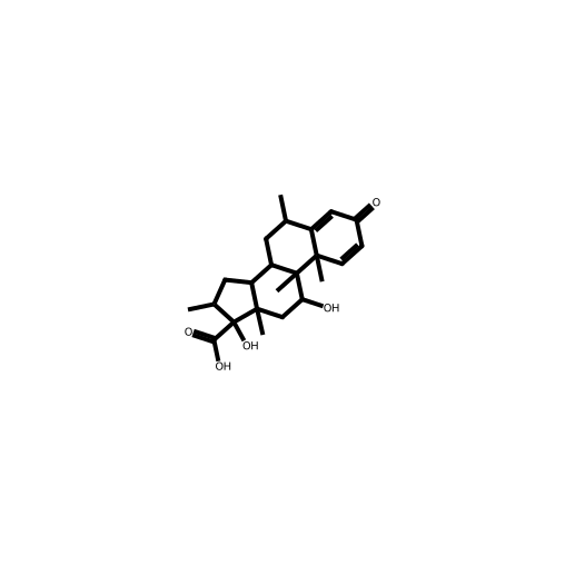 CC1CC2C3CC(C)C(O)(C(=O)O)C3(C)CC(O)C2(C)C2(C)C=CC(=O)C=C12